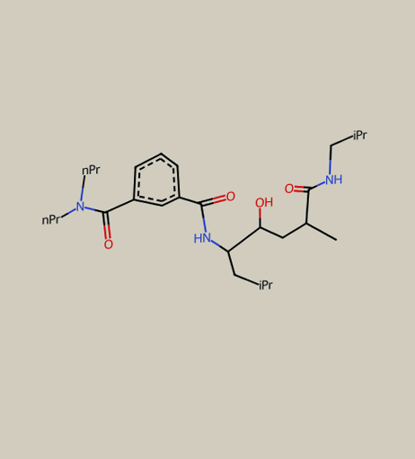 CCCN(CCC)C(=O)c1cccc(C(=O)NC(CC(C)C)C(O)CC(C)C(=O)NCC(C)C)c1